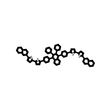 c1ccc(-c2c(-c3ccccc3)c(-c3ccc(-c4ccc(-c5ccc(-c6ccc7ccccc7c6)s5)s4)cc3)c3ccccc3c2-c2ccc(-c3ccc(-c4ccc(-c5ccc6ccccc6c5)s4)s3)cc2)cc1